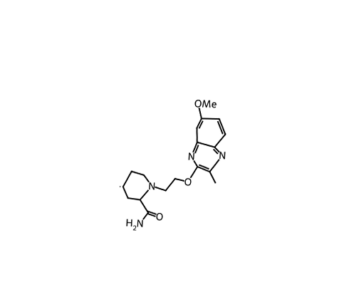 COc1ccc2nc(C)c(OCCN3CC[CH]CC3C(N)=O)nc2c1